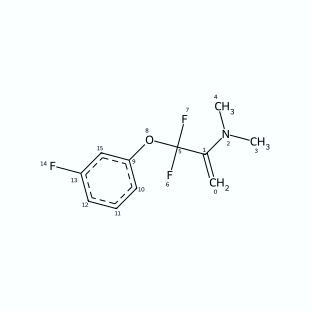 C=C(N(C)C)C(F)(F)Oc1cccc(F)c1